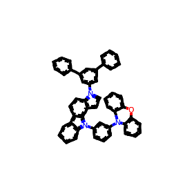 c1ccc(-c2cc(-c3ccccc3)cc(-n3ccc4c3ccc3c5ccccc5n(-c5cccc(N6c7ccccc7Oc7ccccc76)c5)c34)c2)cc1